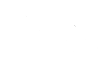 CC(C)(C)OC(=O)Nc1ncc(C(=O)CN2CCOCC2)s1